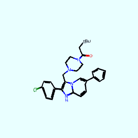 CC(C)(C)CC(=O)N1CCN(CC2=C(c3ccc(Cl)cc3)NC3C=CC(c4ccccc4)=CN23)CC1